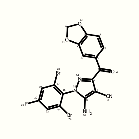 N#Cc1c(C(=O)c2ccc3c(c2)OCO3)nn(-c2c(Br)cc(F)cc2Br)c1N